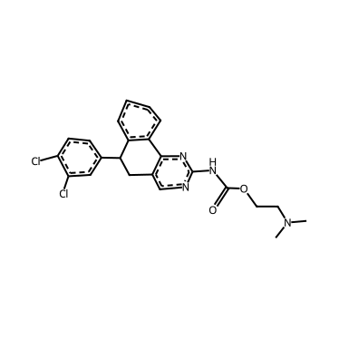 CN(C)CCOC(=O)Nc1ncc2c(n1)-c1ccccc1C(c1ccc(Cl)c(Cl)c1)C2